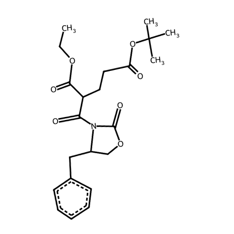 CCOC(=O)C(CCC(=O)OC(C)(C)C)C(=O)N1C(=O)OCC1Cc1ccccc1